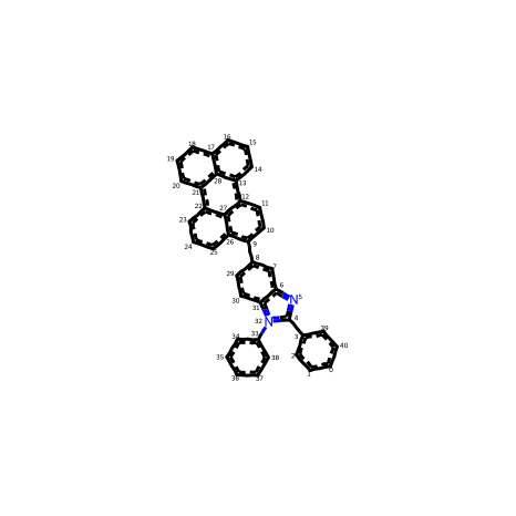 c1ccc(-c2nc3cc(-c4ccc5c6cccc7cccc(c8cccc4c85)c76)ccc3n2-c2ccccc2)cc1